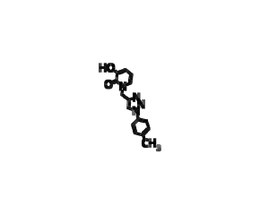 Cc1ccc(-n2cc(Cn3cccc(O)c3=O)nn2)cc1